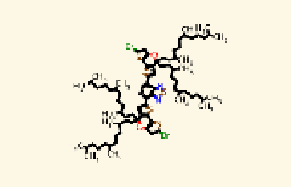 CC(C)CCCC(C)CCCC(C)CCC1(CCC(C)CCCC(C)CCCC(C)C)OC2=C(SC(Br)C2)c2sc(-c3ccc(-c4cc5c(s4)C4=C(CC(Br)S4)OC5(CCC(C)CCCC(C)CCCC(C)C)CCC(C)CCCC(C)CCCC(C)C)c4nsnc34)cc21